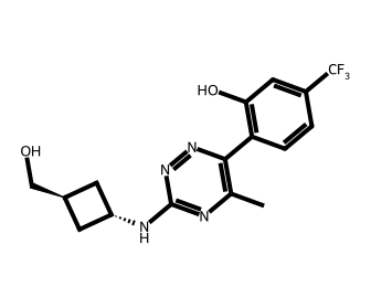 Cc1nc(N[C@H]2C[C@H](CO)C2)nnc1-c1ccc(C(F)(F)F)cc1O